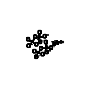 O=P([O-])([O-])OP(=O)([O-])[O-].O=P([O-])([O-])OP(=O)([O-])[O-].[Ti+4].[Zr+4]